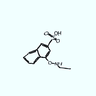 CCNOc1cc(S(=O)(=O)O)cc2ccccc12